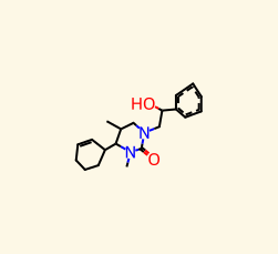 CC1CN(CC(O)c2ccccc2)C(=O)N(C)C1C1C=CCCC1